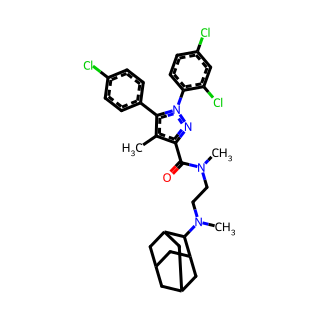 Cc1c(C(=O)N(C)CCN(C)C2C3CC4CC(C3)CC2C4)nn(-c2ccc(Cl)cc2Cl)c1-c1ccc(Cl)cc1